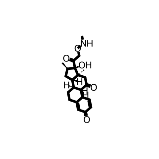 CNOCC(=O)[C@@]1(O)[C@H](C)C[C@H]2[C@@H]3CCC4=CC(=O)C=C[C@@H]4[C@H]3C(=O)C[C@@]21C